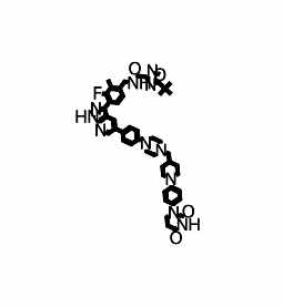 Cc1c(CNC(=O)c2noc(C(C)(C)C)n2)ccc(-c2n[nH]c3ncc(-c4ccc(N5CCN(CC6CCN(c7ccc(N8CCC(=O)NC8=O)cc7)CC6)CC5)cc4)cc23)c1F